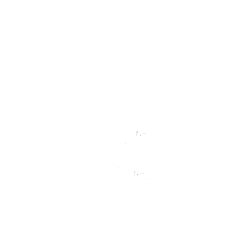 CCCCCCCCCCCCCCCCC(C(N)=O)C(C)C(CCCCCCCCCCCCCCCC)C(N)=O